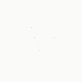 CNC(=O)c1cnc(NC(=O)C2CC2)cc1Nc1csc2c1C(=O)[C@@H](C)C=C2